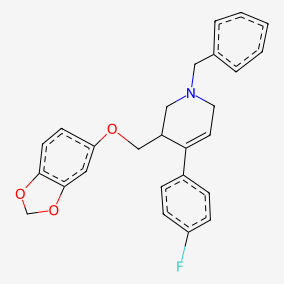 Fc1ccc(C2=CCN(Cc3ccccc3)CC2COc2ccc3c(c2)OCO3)cc1